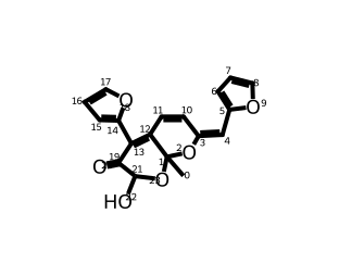 CC12O/C(=C/c3ccco3)C=CC1=C(c1ccco1)C(=O)C(O)O2